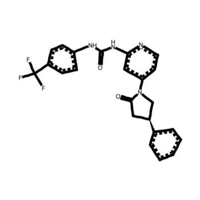 O=C(Nc1ccc(C(F)(F)F)cc1)Nc1cc(N2C[C@@H](c3ccccc3)CC2=O)ccn1